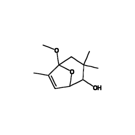 COC12CC(C)(C)C(O)C(C=C1C)O2